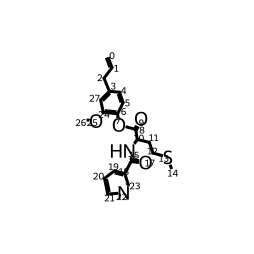 C=CCc1ccc(OC(=O)C(CCSC)NC(=O)c2cccnc2)c(OC)c1